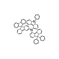 C1=CC2=C3C(N(C4=CC5=C6C=CC=CC6C6(c7ccccc7-c7ccccc76)C5C=C4)C4=CC=CC5C4=C4C=CC=CC4C5(c4ccccc4)c4ccccc4)=CC=CC3N(c3ccccc3)C2C=C1